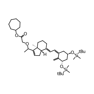 C=C1/C(=C\C=C2/CCC[C@]3(C)C(C(C)OCC(=O)OC4CCCCCC4)=CC[C@@H]23)C[C@@H](O[Si](C)(C)C(C)(C)C)C[C@@H]1O[Si](C)(C)C(C)(C)C